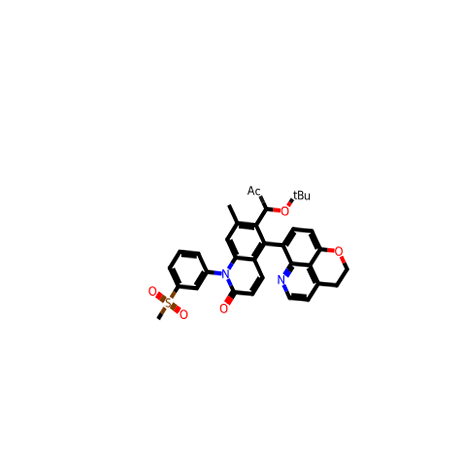 CC(=O)C(OC(C)(C)C)c1c(C)cc2c(ccc(=O)n2-c2cccc(S(C)(=O)=O)c2)c1-c1ccc2c3c(ccnc13)CCO2